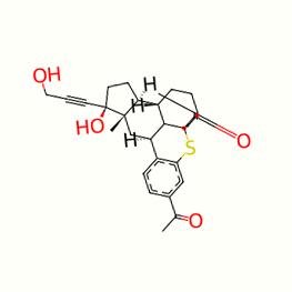 CC(=O)c1ccc2c(c1)S[C@]13CCC(=O)C=C1CC[C@@H]1C3[C@@H]2C[C@@]2(C)[C@H]1CC[C@@]2(O)C#CCO